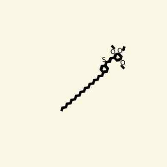 CCCCCCCCCCCCCCCCCCCc1ccc(C(=S)C=Cc2cc(OCC)cc(OCC)c2OCC)cc1